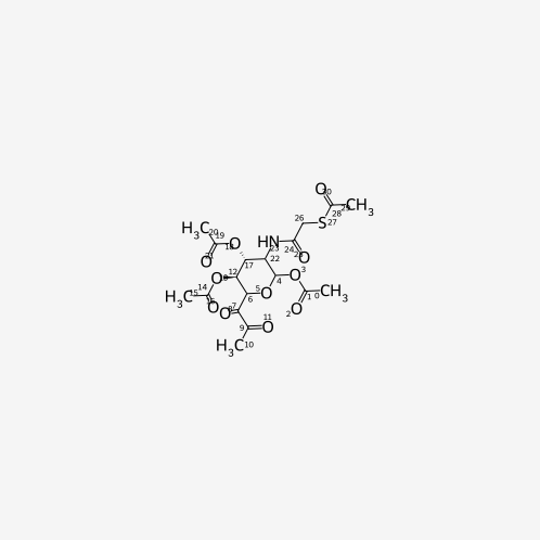 CC(=O)OC1OC(C(=O)C(C)=O)[C@@H](OC(C)=O)[C@H](OC(C)=O)C1NC(=O)CSC(C)=O